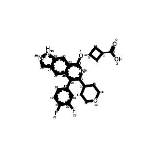 O=C(O)[C@H]1C[C@H](Oc2nc(C3CCOCC3)c(-c3ccc(F)c(F)c3)c3cc4cn[nH]c4cc23)C1